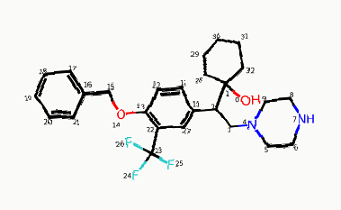 OC1(C(CN2CCNCC2)c2ccc(OCc3ccccc3)c(C(F)(F)F)c2)CCCCC1